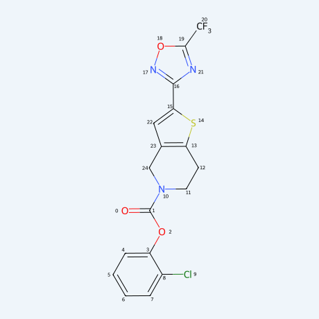 O=C(Oc1ccccc1Cl)N1CCc2sc(-c3noc(C(F)(F)F)n3)cc2C1